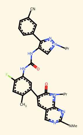 CNc1ncc2cc(-c3cc(NC(=O)Nc4cn(C(C)C)nc4-c4cccc(C#N)c4)c(F)cc3C)c(=O)n(C(C)C)c2n1